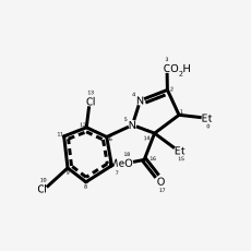 CCC1C(C(=O)O)=NN(c2ccc(Cl)cc2Cl)C1(CC)C(=O)OC